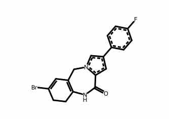 O=C1NC2=C(C=C(Br)CC2)Cn2cc(-c3ccc(F)cc3)cc21